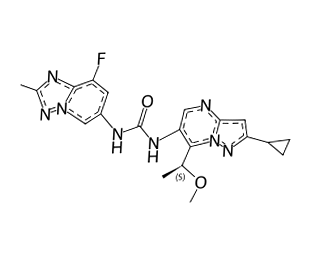 CO[C@@H](C)c1c(NC(=O)Nc2cc(F)c3nc(C)nn3c2)cnc2cc(C3CC3)nn12